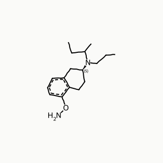 CCCN(C(C)CC)[C@H]1CCc2c(cccc2ON)C1